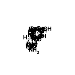 CC[C@H](C)[C@@H]1NC(=O)[C@H](Cc2ccc(O)cc2)NC(=O)CCC(=O)NC[C@@H](C(=O)NCCC2C[C@@H]2C(=O)N[C@H](C(=O)NCC(N)=O)[C@@H](C)CC)NC(=O)[C@H](CC(N)=O)NC(=O)[C@H](CCC(N)=O)NC1=O